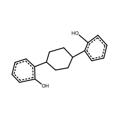 Oc1ccccc1C1CCC(c2ccccc2O)CC1